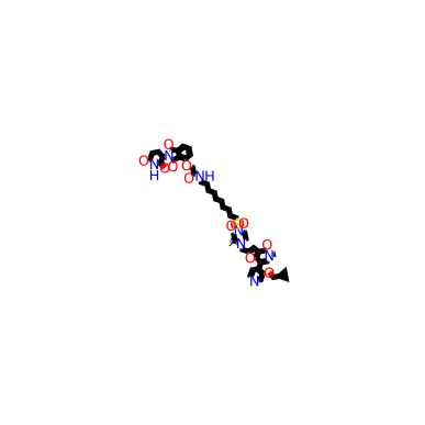 C[C@@H]1CN(S(=O)(=O)CCCCCCCCCCNC(=O)COc2cccc3c2C(=O)N(C2CCC(=O)NC2=O)C3=O)CCN1Cc1cc2c(=O)n(C)cc(-c3ccncc3OCC3CC3)c2o1